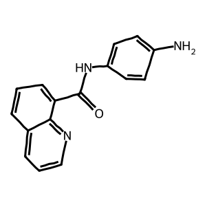 Nc1ccc(NC(=O)c2cccc3cccnc23)cc1